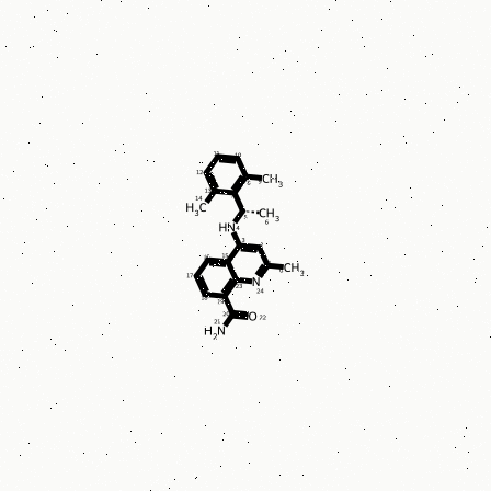 Cc1cc(N[C@@H](C)c2c(C)cccc2C)c2cccc(C(N)=O)c2n1